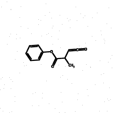 CC(C=C=O)C(=O)Oc1ccccc1